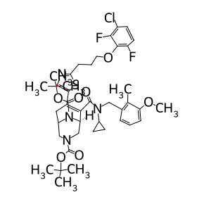 COc1cccc(CN(C(=O)C2=C(c3cnc(CCCOc4c(F)ccc(Cl)c4F)s3)CC3CN(C(=O)OC(C)(C)C)C[C@H]2N3C(=O)OC(C)(C)C)C2CC2)c1C